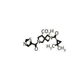 CC1(C)C[C@@H]1C(=O)N1CC2(CN(C(=O)c3cncs3)C[C@@H]2C(=O)O)C1